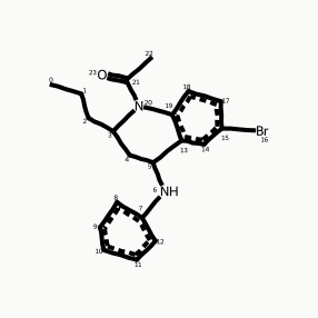 CCCC1CC(Nc2ccccc2)c2cc(Br)ccc2N1C(C)=O